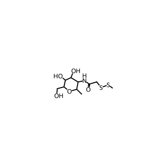 CSSCC(=O)NC1C(C)OC(CO)C(O)C1O